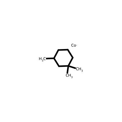 CC1CCCC(C)(C)C1.[Co]